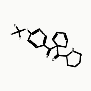 O=C(c1ccc(OC(F)(F)F)cc1)C1(C(=O)C2CCCCN2)C=CC=CC1